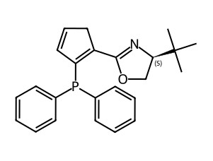 CC(C)(C)[C@H]1COC(C2=C(P(c3ccccc3)c3ccccc3)C=CC2)=N1